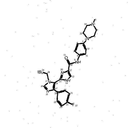 CN1CCN(c2ccc(NC(=O)c3c[nH]c(-c4c(-c5ccc(F)cc5)ncn4CC(C)(C)C)n3)cc2)CC1